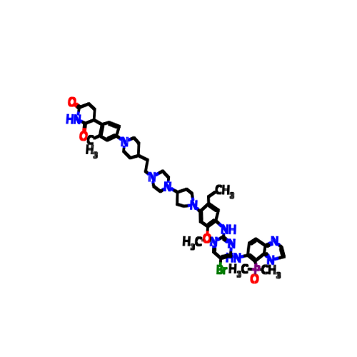 CCc1cc(Nc2ncc(Br)c(Nc3ccc4nccnc4c3P(C)(C)=O)n2)c(OC)cc1N1CCC(N2CCN(CCC3CCN(c4ccc(C5CCC(=O)NC5=O)c(C)c4)CC3)CC2)CC1